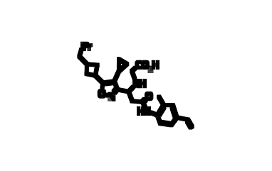 C=Cc1ccc(NC(=O)CC(NCC(=O)O)c2noc(C3CC(CC(C)C)C3)c2C2CC2)c(C)c1